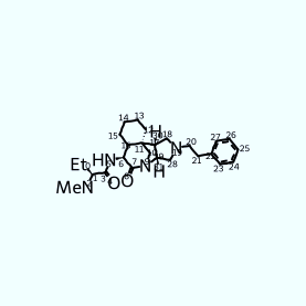 CC[C@H](NC)C(=O)N[C@@H]1C(=O)N2C[C@]3(CCCCC13)[C@@H]1CN(CCc3ccccc3)C[C@@H]12